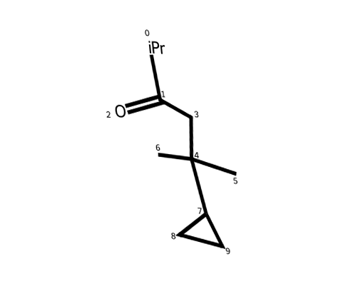 CC(C)C(=O)CC(C)(C)C1CC1